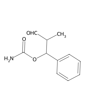 CC(C=O)C(OC(N)=O)c1ccccc1